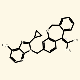 C/C(C#N)=C1/c2ccccc2COc2cc(Cn3c(C4CC4)nc4c(C)ccnc43)ccc21